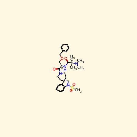 CN(C)C(C)(C)C(=O)N[C@H](COCc1ccccc1)C(=O)N1CCC2(CC1)CN(S(C)(=O)=O)c1ccccc12